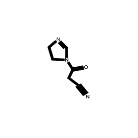 N#CCC(=O)N1C=NCC1